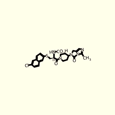 Cc1ncc2n1C(=O)N(C1CCN(C(=O)[C@@H](CSc3ccc4cc(Cl)ccc4c3)NC(=O)O)CC1)C2